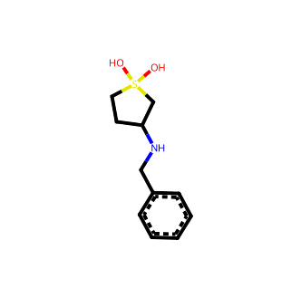 OS1(O)CCC(NCc2ccccc2)C1